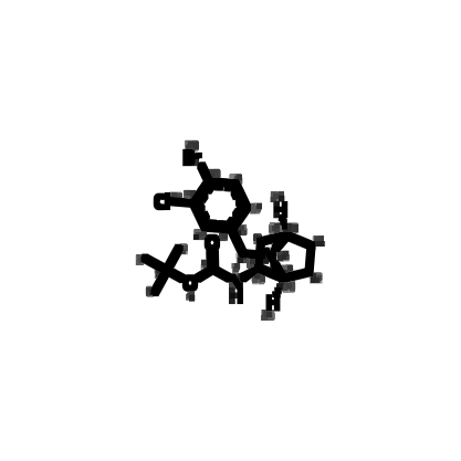 CC(C)(C)OC(=O)N[C@H]1C[C@H]2CC[C@@H]1N2Cc1ccc(Br)c(Cl)c1